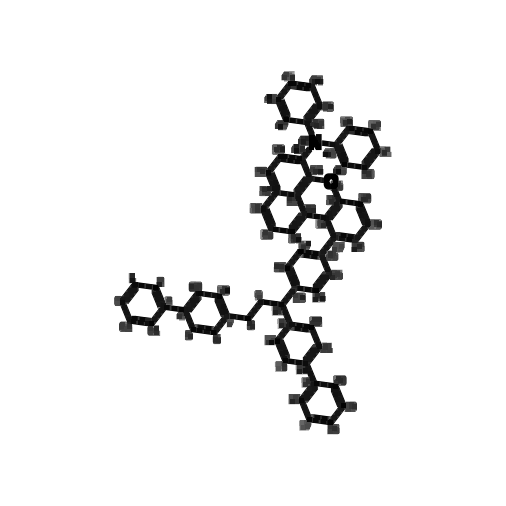 c1ccc(-c2ccc(CCC(c3ccc(-c4ccccc4)cc3)c3ccc(-c4cccc5c4-c4cccc6ccc(N(c7ccccc7)c7ccccc7)c(c46)O5)cc3)cc2)cc1